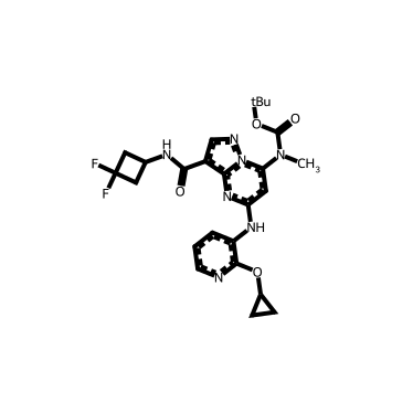 CN(C(=O)OC(C)(C)C)c1cc(Nc2cccnc2OC2CC2)nc2c(C(=O)NC3CC(F)(F)C3)cnn12